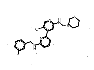 Fc1cccc(CNc2cccc(-c3cc(NC[C@H]4CCCNC4)ncc3Cl)n2)c1